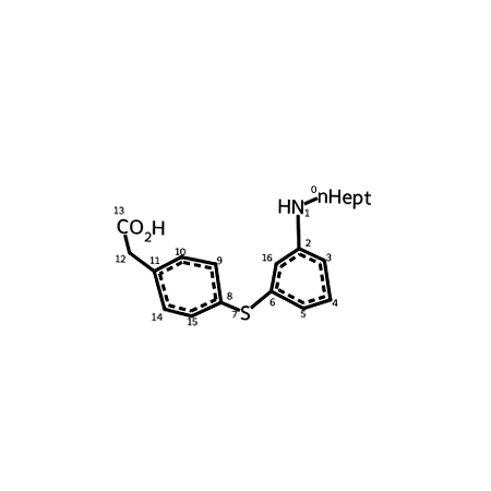 CCCCCCCNc1cccc(Sc2ccc(CC(=O)O)cc2)c1